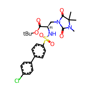 CN1C(=O)N(C[C@@H](NS(=O)(=O)c2ccc(-c3ccc(Cl)cc3)cc2)C(=O)OC(C)(C)C)C(=O)C1(C)C